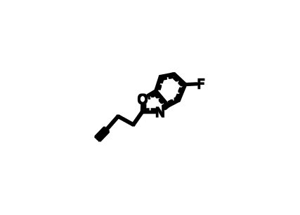 C#CCCc1nc2cc(F)ccc2o1